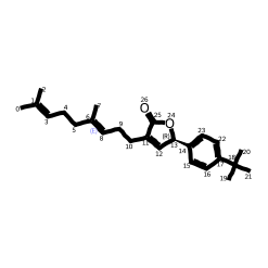 CC(C)=CCC/C(C)=C/CCC1=C[C@H](c2ccc(C(C)(C)C)cc2)OC1=O